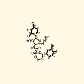 [N-]=[N+]=N[C@]1(COP2(=O)OCC[C@@H](c3ccc(F)c(Br)c3)O2)O[C@@H](n2ccc(=O)[nH]c2=O)[C@H](O)[C@@H]1O